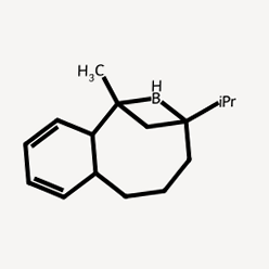 CC(C)C12BC(C)(C1)C1C=CC=CC1CCC2